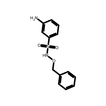 Nc1cccc(S(=O)(=O)NOCc2ccccc2)c1